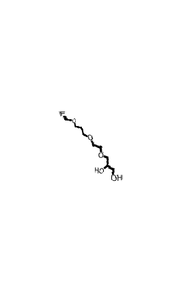 OCC(O)COCCOCCCOCF